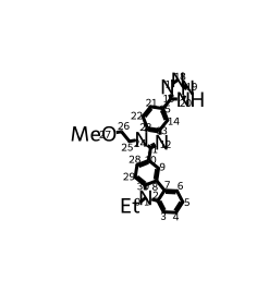 CCn1c2ccccc2c2cc(-c3nc4cc(-c5nnn[nH]5)ccc4n3CCOC)ccc21